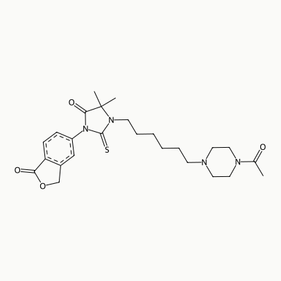 CC(=O)N1CCN(CCCCCCN2C(=S)N(c3ccc4c(c3)COC4=O)C(=O)C2(C)C)CC1